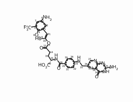 Nc1cc2c(c(C(F)(F)F)c1)OBC(OC(=O)CC[C@H](NC(=O)c1ccc(NCc3cnc4nc(N)[nH]c(=O)c4n3)cc1)C(=O)O)=C2